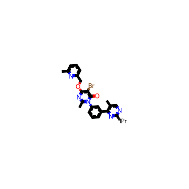 Cc1cccc(COc2nc(C)n(-c3cccc(-c4nc(C(C)C)ncc4C)c3)c(=O)c2Br)n1